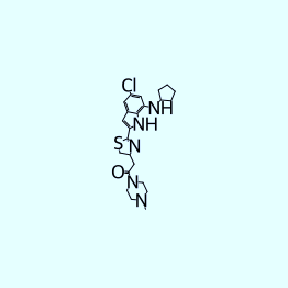 CN1CCN(C(=O)CC2CSC(c3cc4cc(Cl)cc(NC5CCCC5)c4[nH]3)=N2)CC1